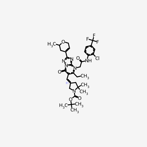 CCc1c(/C=C2/CN(C(=O)OC(C)(C)C)C(C)(C)C2)c(=O)n2nc(C3=CCOC(C)C3)nc2n1CC(=O)Nc1ccc(C(F)(F)F)cc1Cl